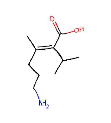 CC(CCCN)=C(C(=O)O)C(C)C